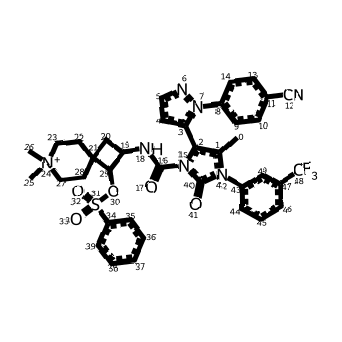 Cc1c(-c2ccnn2-c2ccc(C#N)cc2)n(C(=O)NC2CC3(CC[N+](C)(C)CC3)C2OS(=O)(=O)c2ccccc2)c(=O)n1-c1cccc(C(F)(F)F)c1